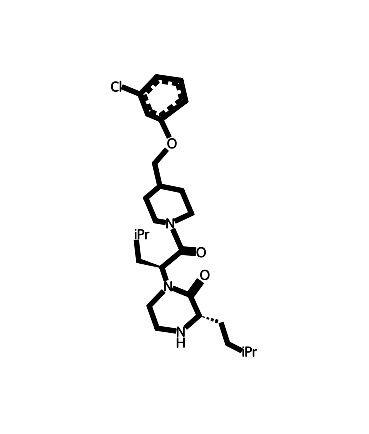 CC(C)CC[C@@H]1NCCN([C@@H](CC(C)C)C(=O)N2CCC(COc3cccc(Cl)c3)CC2)C1=O